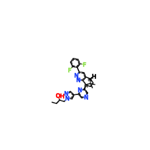 CCC(O)Cn1cc(-c2cncc([C@@]34CC[C@@H](c5cc(-c6c(F)cccc6F)nnc53)C4(C)C)n2)cn1